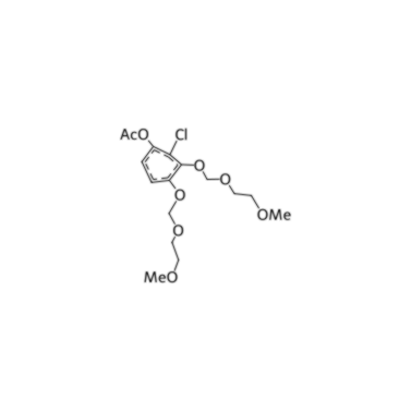 COCCOCOc1ccc(OC(C)=O)c(Cl)c1OCOCCOC